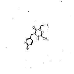 CCOC(=O)C(Cc1ccc(Br)nc1)NC(C)=O